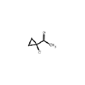 CC(=O)C1(Cl)CC1